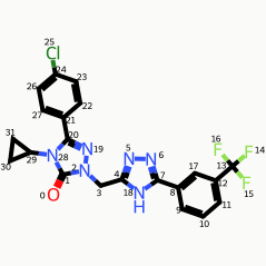 O=c1n(Cc2nnc(-c3cccc(C(F)(F)F)c3)[nH]2)nc(-c2ccc(Cl)cc2)n1C1CC1